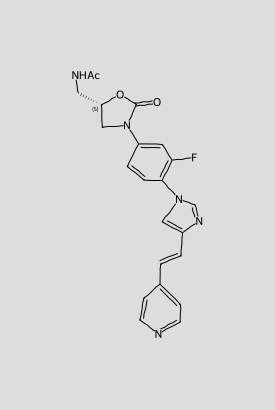 CC(=O)NC[C@H]1CN(c2ccc(-n3cnc(C=Cc4ccncc4)c3)c(F)c2)C(=O)O1